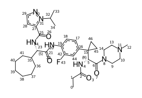 CCC(=O)N[C@@H](C(=O)N1CCN(C)CC1)C1(c2ccc(NC(=O)[C@@H](NC(=O)c3ccnn3C(C)C)C3CCCCCC3)c(F)c2)CC1